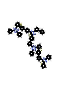 c1ccc(-c2cccc(-c3nc(-c4ccc(-c5ccc6c(c5)sc5cccc(-c7nc(-c8ccccc8)nc(-c8ccccc8)n7)c56)cc4)c4sc5cc(-c6cccc(-c7nc(-c8ccccc8)nc(-c8cccc9sc%10cc(-c%11cccc(-c%12nc(-c%13ccccc%13)nc%13c%12sc%12ccccc%12%13)c%11)ccc%10c89)n7)c6)ccc5c4n3)c2)cc1